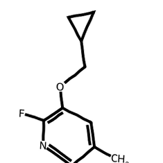 Cc1cnc(F)c(OCC2CC2)c1